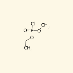 CCOP(=O)(Cl)OC